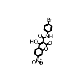 O=C(Nc1ccc(Br)cc1)c1c(O)c2ccc([N+](=O)[O-])cc2oc1=O